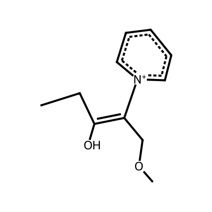 CC/C(O)=C(/COC)[n+]1ccccc1